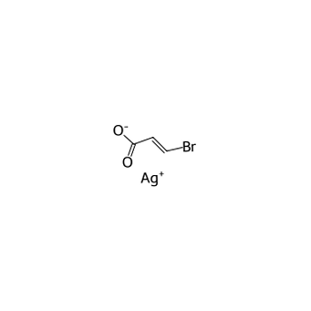 O=C([O-])C=CBr.[Ag+]